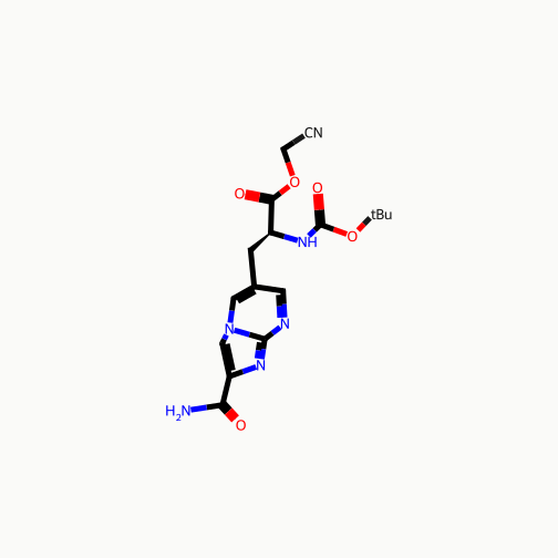 CC(C)(C)OC(=O)N[C@@H](Cc1cnc2nc(C(N)=O)cn2c1)C(=O)OCC#N